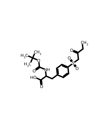 CCC(=O)CS(=O)(=O)c1ccc(CC(NC(=O)OC(C)(C)C)C(=O)O)cc1